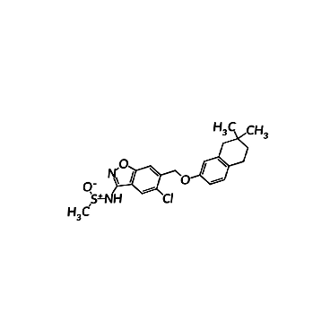 C[S+]([O-])Nc1noc2cc(COc3ccc4c(c3)CC(C)(C)CC4)c(Cl)cc12